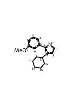 COc1cccc(-c2nccn2C2CCCCC2)c1